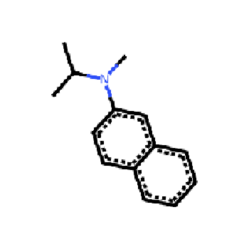 CC(C)N(C)c1ccc2ccccc2c1